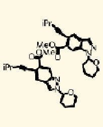 COC(=O)c1cc2c(cnn2C2CCCCO2)cc1C#CC(C)C.COC(=O)c1cc2nn(C3CCCCO3)cc2cc1C#CC(C)C